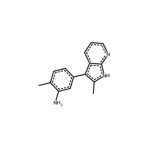 Cc1ccc(-c2c(C)[nH]c3ncccc23)cc1N